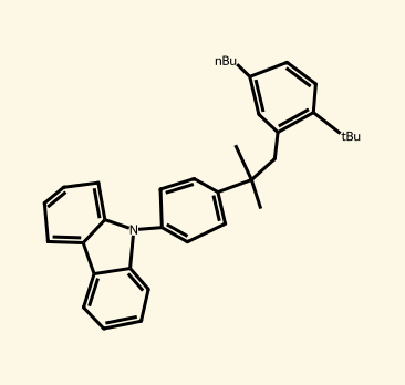 CCCCc1ccc(C(C)(C)C)c(CC(C)(C)c2ccc(-n3c4ccccc4c4ccccc43)cc2)c1